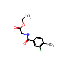 O=C(CNC(=O)c1ccc([N+](=O)[O-])c(F)c1)OCC(Cl)(Cl)Cl